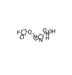 O=C(NO)c1cnc2ccn(CCOc3ccc(F)c(Cl)c3)c2c1